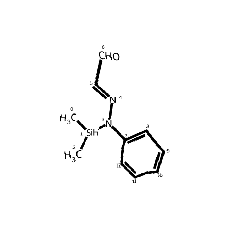 C[SiH](C)N(N=CC=O)c1ccccc1